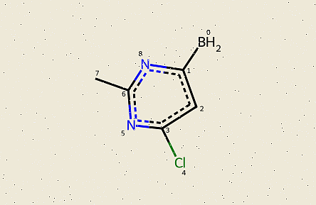 Bc1cc(Cl)nc(C)n1